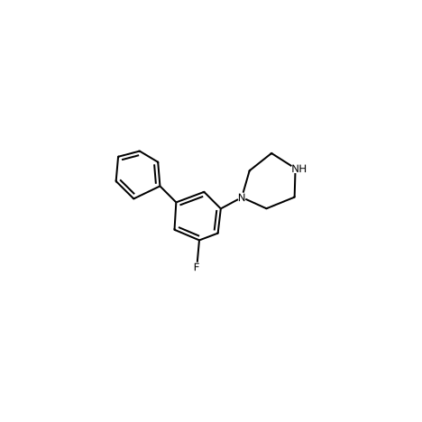 Fc1cc(-c2ccccc2)cc(N2CCNCC2)c1